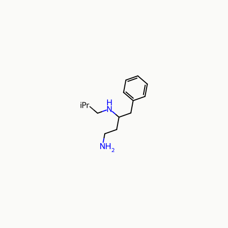 CC(C)CNC(CCN)Cc1ccccc1